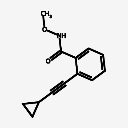 CONC(=O)c1ccccc1C#CC1CC1